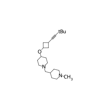 CN1CCC(CN2CCC(OC3CC(C#CC(C)(C)C)C3)CC2)CC1